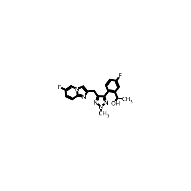 C[C@@H](O)c1cc(F)ccc1-c1nn(C)nc1Cc1cn2cc(F)ccc2n1